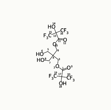 O=C(OCC(CO)(CO)COC(=O)C(O)(C(F)(F)F)C(F)(F)F)C(O)(C(F)(F)F)C(F)(F)F